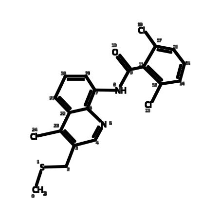 CSCc1cnc2c(NC(=O)c3c(Cl)cccc3Cl)cccc2c1Cl